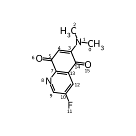 CN(C)C1=CC(=O)c2ncc(F)cc2C1=O